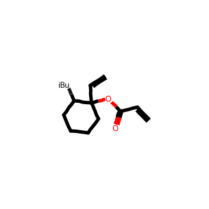 C=CC(=O)OC1(C=C)CCCCC1C(C)CC